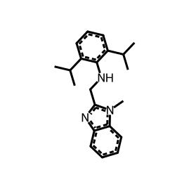 CC(C)c1cccc(C(C)C)c1NCc1nc2ccccc2n1C